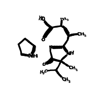 C/C(C(=O)O)=C(\C)C1=NC(=O)C(C)(C(C)C)N1.C1CCNC1